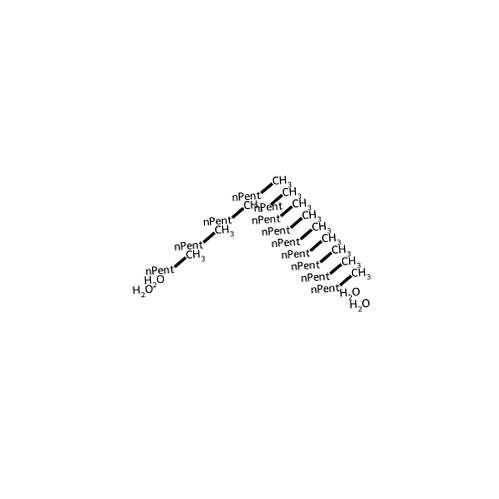 CCCCCC.CCCCCC.CCCCCC.CCCCCC.CCCCCC.CCCCCC.CCCCCC.CCCCCC.CCCCCC.CCCCCC.CCCCCC.CCCCCC.O.O.O.O